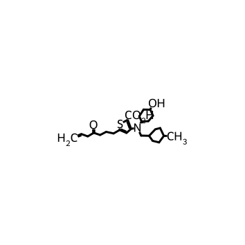 C=CCC(=O)CCCc1cc(N(CC2CCC(C)CC2)C2CCC(O)CC2)c(C(=O)O)s1